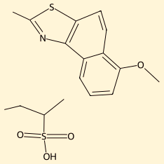 CCC(C)S(=O)(=O)O.COc1cccc2c1ccc1sc(C)nc12